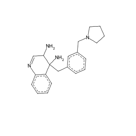 NC1C=Nc2ccccc2C1(N)Cc1cccc(CN2CCCC2)c1